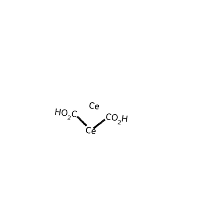 O=[C](O)[Ce][C](=O)O.[Ce]